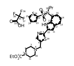 CCOC(=O)N1CCN(Cc2cnc(-c3cc4cccc(N(C(C)C)S(=O)(=O)c5cccs5)c4[nH]3)s2)CC1.O=C(O)C(F)(F)F